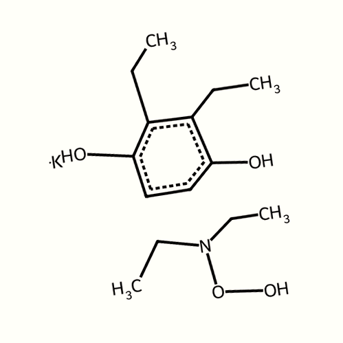 CCN(CC)OO.CCc1c(O)ccc(O)c1CC.[K]